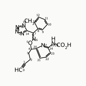 C#CCCC(ON=C(c1ccccc1)c1nnnn1C)c1cccc(NC(=O)O)n1